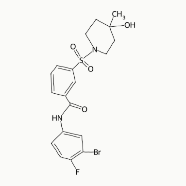 CC1(O)CCN(S(=O)(=O)c2cccc(C(=O)Nc3ccc(F)c(Br)c3)c2)CC1